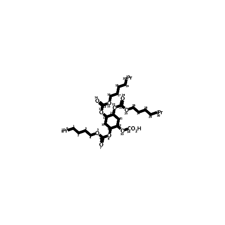 CC(C)CCCCOC(=O)OC1CC(OC(=O)OCCCCC(C)C)C(OC(=O)OCCCCC(C)C)CC1OC(=O)O